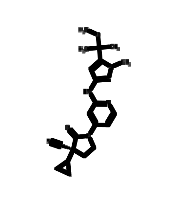 COC(C)(C)c1cc(Nc2cc(N3CC[C@@](C#N)(C4CC4)C3=O)ccn2)nn1C